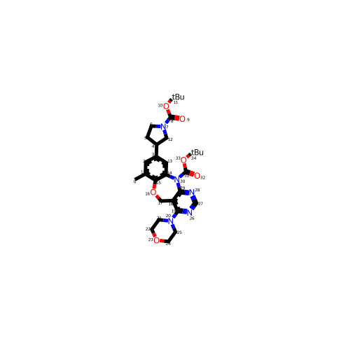 Cc1cc(C2CCN(C(=O)OC(C)(C)C)C2)cc2c1OCc1c(N3CCOCC3)ncnc1N2C(=O)OC(C)(C)C